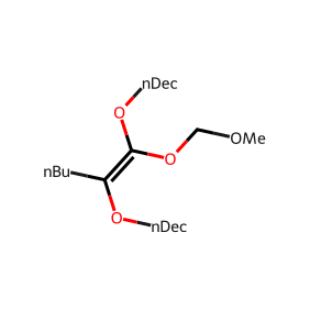 CCCCCCCCCCOC(CCCC)=C(OCCCCCCCCCC)OCOC